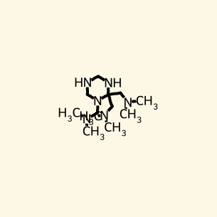 CN(C)CN1CNCNC1(CN(C)C)CN(C)C